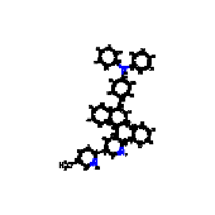 Cc1ccc(-c2cnc3c4ccccc4c4cc(-c5ccc(N(c6ccccc6)c6ccccc6)cc5)c5ccccc5c4c3c2)nc1